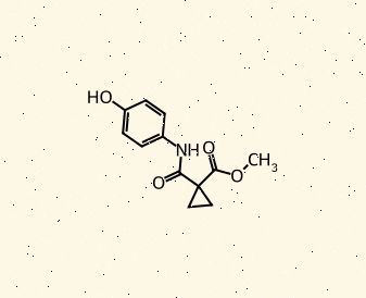 COC(=O)C1(C(=O)Nc2ccc(O)cc2)CC1